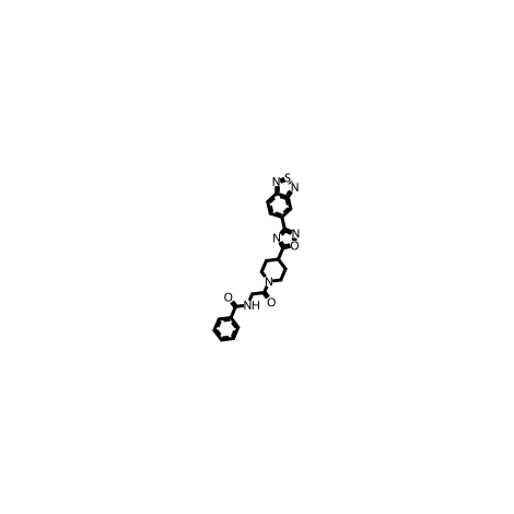 O=C(NCC(=O)N1CCC(c2nc(-c3ccc4nsnc4c3)no2)CC1)c1ccccc1